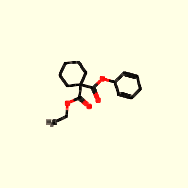 CCOC(=O)C1(C(=O)OC2C=CCC=C2)CCCCC1